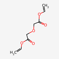 C=COC(=O)COCC(=O)OC=C